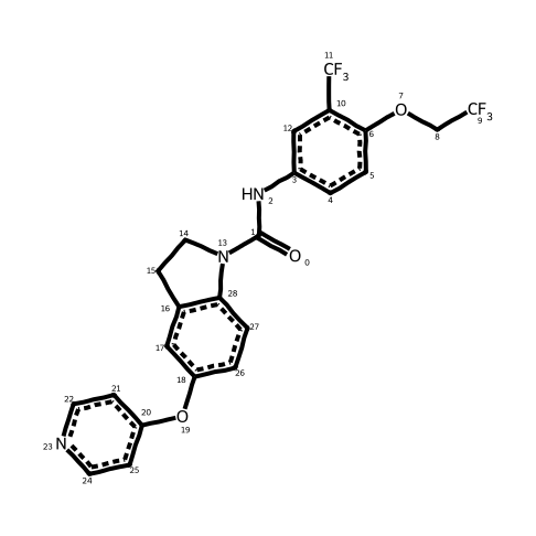 O=C(Nc1ccc(OCC(F)(F)F)c(C(F)(F)F)c1)N1CCc2cc(Oc3ccncc3)ccc21